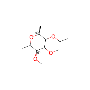 CCOC1C(OC)[C@@H](OC)C(C)O[C@H]1C